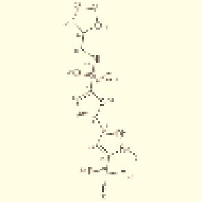 Cn1nc(-c2ccc(S(=O)(=O)NCC3CCCO3)s2)cc1C(F)(F)F